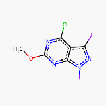 COc1nc(Cl)c2c(I)nn(I)c2n1